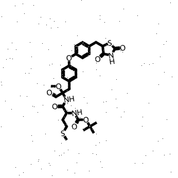 COC(C=O)(Cc1ccc(Oc2ccc(CC3SC(=O)NC3=O)cc2)cc1)NC(=O)C(CCSC)NC(=O)OC(C)(C)C